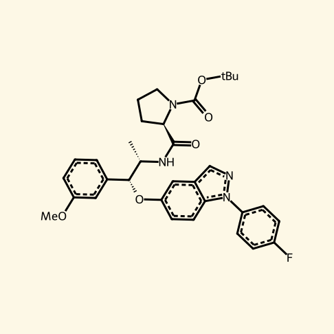 COc1cccc([C@@H](Oc2ccc3c(cnn3-c3ccc(F)cc3)c2)[C@H](C)NC(=O)[C@H]2CCCN2C(=O)OC(C)(C)C)c1